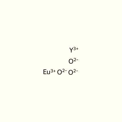 [Eu+3].[O-2].[O-2].[O-2].[Y+3]